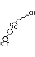 CC=CCCCC[C@H]1CO[C@H]([C@H]2CC[C@H](c3ccc(C#N)c(F)c3)CC2)OC1